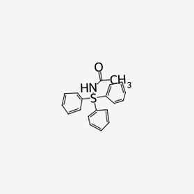 CC(=O)NS(c1ccccc1)(c1ccccc1)c1ccccc1